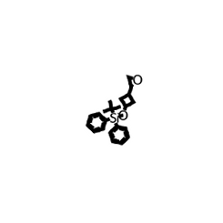 CC(C)(C)[Si](OC1CC(C2CO2)C1)(c1ccccc1)c1ccccc1